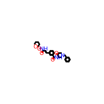 O=C(C=Cc1ccc2c(c1)C(=O)NC1(CCN(Cc3ccccc3)CC1)O2)NOC1CCCCO1